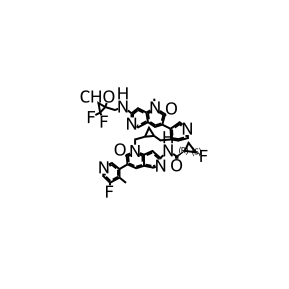 Cc1c(F)cncc1-c1cc2cnc(NC(=O)[C@H]3C[C@@H]3F)cc2n(CC2CC2Cc2ccncc2-c2cc3cnc(NCC4(C=O)CC4(F)F)cc3n(C)c2=O)c1=O